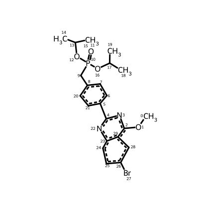 COc1nc(-c2ccc(CP(=O)(OC(C)C)OC(C)C)cc2)nc2ccc(Br)cc12